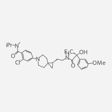 COc1cccc([C@@](O)(C(=O)NCC[C@H]2CC23CCN(c2ccc(C(=O)N(C)C(C)C)c(Cl)c2)CC3)C(F)(F)F)c1